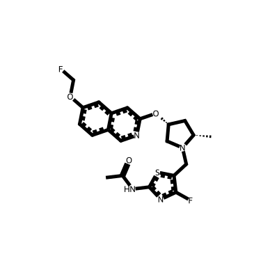 CC(=O)Nc1nc(F)c(CN2C[C@H](Oc3cc4cc(OCF)ccc4cn3)C[C@@H]2C)s1